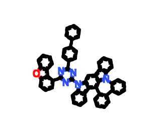 c1ccc(-c2ccc(-c3nc(-c4cccc5oc6ccccc6c45)nc(-n4c5ccccc5c5c6c7c(cc54)c4ccccc4n7-c4ccccc4-c4ccccc4-6)n3)cc2)cc1